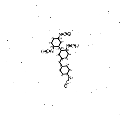 O=C=NC1CCC(CC2CCC(N=C=O)C(C3CC(N=C=O)CCC3N=C=O)C2)CC1